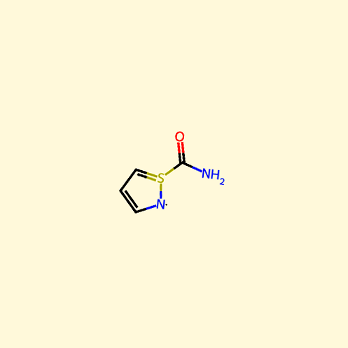 NC(=O)S1=CC=C[N]1